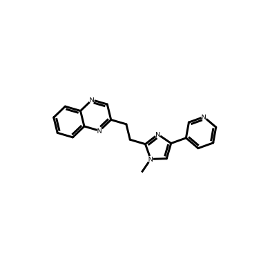 Cn1cc(-c2cccnc2)nc1CCc1cnc2ccccc2n1